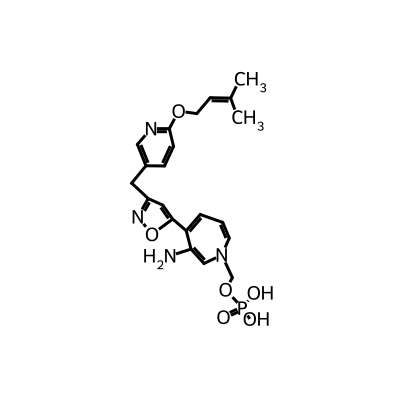 CC(C)=CCOc1ccc(Cc2cc(C3=CC=CN(COP(=O)(O)O)C=C3N)on2)cn1